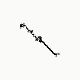 CC(C)(C)OC(=O)CCCCCCCCCCCCCCCCCCc1ccc(OCC(=O)NCCOCCOCC(=O)NCCOCCOCC(=O)ON2C(=O)CCC2=O)c(C(=O)OC(C)(C)C)c1